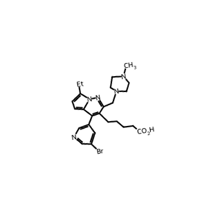 CCc1ccc2c(-c3cncc(Br)c3)c(CCCCC(=O)O)c(CN3CCN(C)CC3)nn12